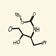 CC(C)CC(NC(=O)OC(C)(C)C)C(O)CCl